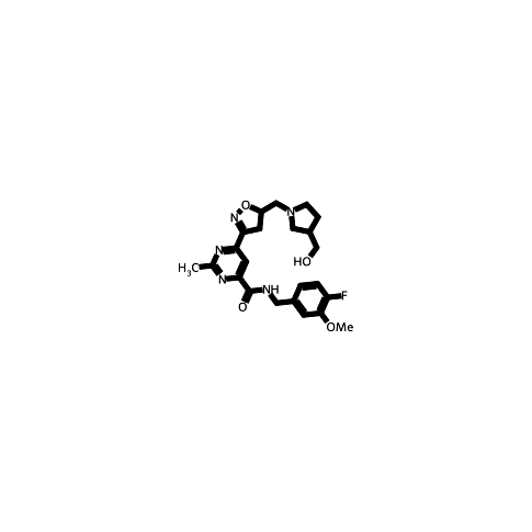 COc1cc(CNC(=O)c2cc(C3=NOC(CN4CCC(CO)C4)C3)nc(C)n2)ccc1F